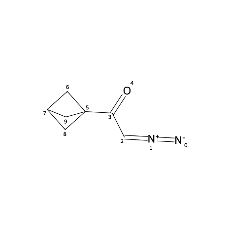 [N-]=[N+]=CC(=O)C12CC(C1)C2